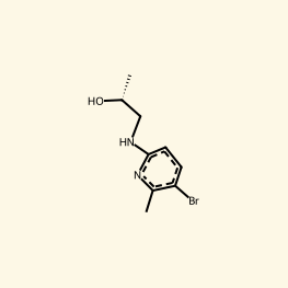 Cc1nc(NC[C@@H](C)O)ccc1Br